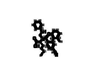 CSCC[C@@H](C(=O)O)N(CNc1ccccc1)C(=O)c1ccc(C#N)cc1-c1ccccc1C